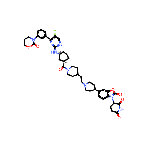 O=C1CCC(n2c(=O)oc3cc(C4CCN(CCC5CCN(C(=O)[C@@H]6CCC[C@H](Nc7ncc(F)c(-c8cccc(N9CCCOC9=O)c8)n7)C6)CC5)CC4)ccc32)C(=O)N1